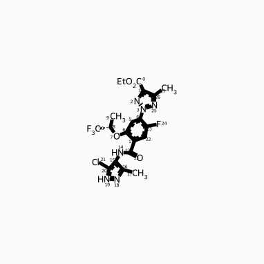 CCOC(=O)c1nn(-c2cc(O[C@@H](C)C(F)(F)F)c(C(=O)Nc3c(C)n[nH]c3Cl)cc2F)nc1C